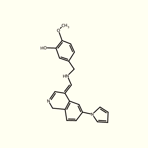 COc1ccc(CNC=C2C=NCc3ccc(-n4cccc4)cc32)cc1O